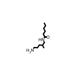 CCCCCC(=O)NCC(C)CCCN